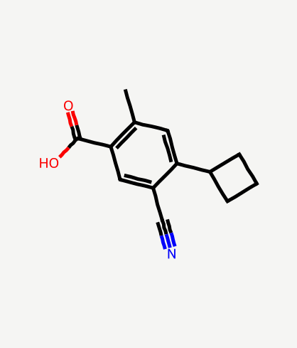 Cc1cc(C2CCC2)c(C#N)cc1C(=O)O